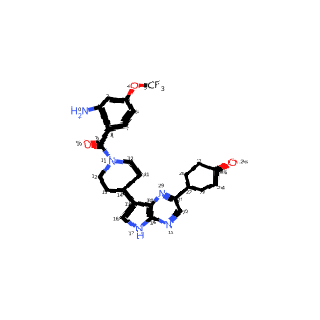 Nc1cc(OC(F)(F)F)ccc1C(=O)N1CCC(c2c[nH]c3ncc(C4CCC(=O)CC4)nc23)CC1